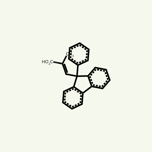 CC(=CC1(c2ccccc2)c2ccccc2-c2ccccc21)C(=O)O